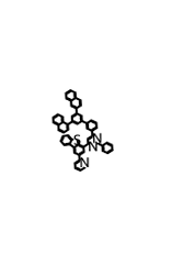 c1ccc(-c2nc(-c3cccc(-c4cc(-c5ccc6ccccc6c5)cc(-c5cccc6ccccc56)c4)c3)cc(-c3cc(-c4ccccn4)cc4c3sc3ccccc34)n2)cc1